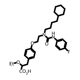 CCOC(Cc1ccc(OCCN(CCCCC2CCCCC2)C(=O)Nc2ccc(F)cc2)cc1)C(=O)O